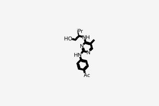 CC(=O)c1ccc(Nc2ncc(C)c(N[C@@H](CO)C(C)C)n2)cc1